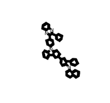 c1ccc(-c2nc3ccccc3nc2-c2ccc(-n3c4ccccc4c4cc(-c5ccc6c(c5)c5ccccc5n6-c5cccc6ccccc56)ccc43)cc2)cc1